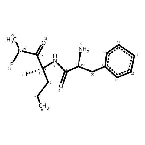 CCC[C@](F)(NC(=O)[C@@H](N)Cc1ccccc1)C(=O)N(C)F